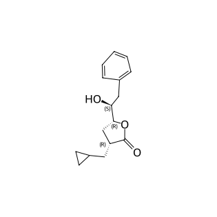 O=C1O[C@@H]([C@@H](O)Cc2ccccc2)C[C@H]1CC1CC1